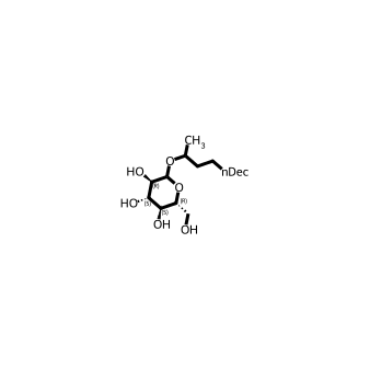 CCCCCCCCCCCCC(C)OC1O[C@H](CO)[C@@H](O)[C@H](O)[C@H]1O